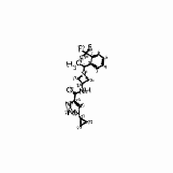 CC(c1ccccc1C(F)(F)F)N1CC(NC(=O)c2cn(C3CC3)nn2)C1